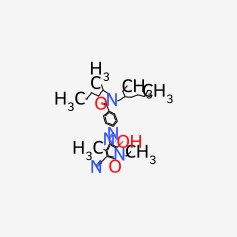 CCCCC(CC)CN(CC(CC)CCCC)C(=O)c1ccc(/N=N/c2c(C)c(C#N)c(=O)n(CC)c2O)cc1